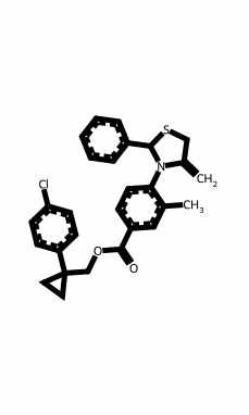 C=C1CSC(c2ccccc2)N1c1ccc(C(=O)OCC2(c3ccc(Cl)cc3)CC2)cc1C